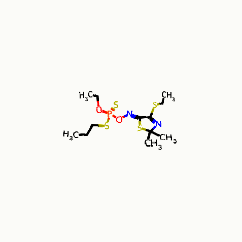 CCCSP(=S)(OCC)ON=C1SC(C)(C)N=C1SCC